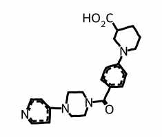 O=C(O)C1CCCN(c2ccc(C(=O)N3CCN(c4ccncc4)CC3)cc2)C1